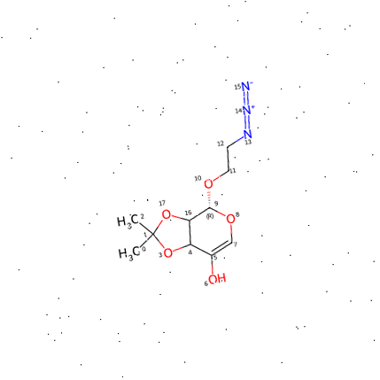 CC1(C)OC2C(O)=CO[C@@H](OCCN=[N+]=[N-])C2O1